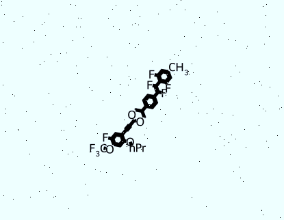 CCCOc1cc(OC(F)(F)F)c(F)cc1C#CC1OCC(c2ccc(/C(F)=C(\F)c3c(F)cc(C)cc3F)cc2)CO1